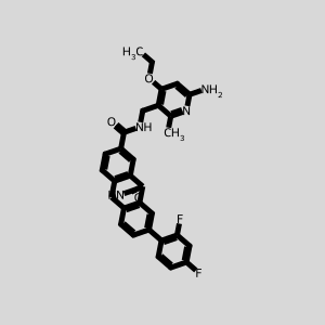 CCOc1cc(N)nc(C)c1CNC(=O)c1ccc2c(c1)C1C(=O)NC2c2ccc(-c3ccc(F)cc3F)cc21